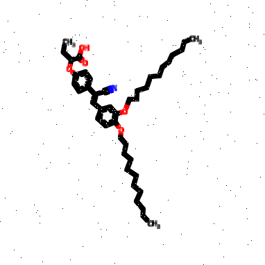 CCCCCCCCCCCCOc1ccc(C=C(C#N)c2ccc(OC(CC)C(=O)O)cc2)cc1OCCCCCCCCCCCC